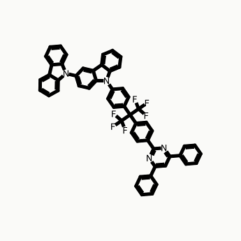 FC(F)(F)C(c1ccc(-c2nc(-c3ccccc3)cc(-c3ccccc3)n2)cc1)(c1ccc(-n2c3ccccc3c3cc(-n4c5ccccc5c5ccccc54)ccc32)cc1)C(F)(F)F